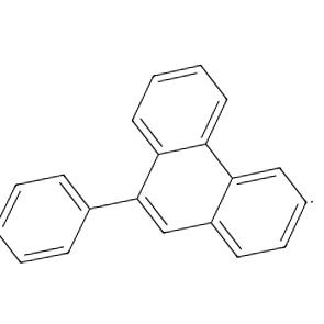 [c]1ccc2cc(-c3ccccc3)c3ccccc3c2c1